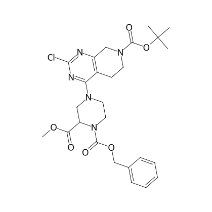 COC(=O)C1CN(c2nc(Cl)nc3c2CCN(C(=O)OC(C)(C)C)C3)CCN1C(=O)OCc1ccccc1